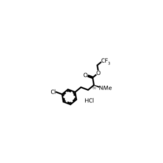 CN[C@@H](CCc1cccc(Cl)c1)C(=O)OCC(F)(F)F.Cl